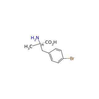 C[C@@](N)(Cc1ccc(Br)cc1)C(=O)O